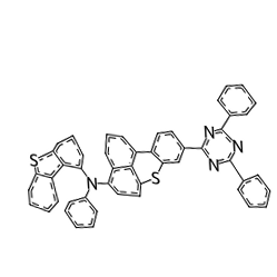 c1ccc(-c2nc(-c3ccccc3)nc(-c3ccc4c(c3)Sc3ccc(N(c5ccccc5)c5cccc6sc7ccccc7c56)c5cccc-4c35)n2)cc1